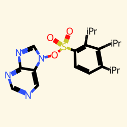 CC(C)c1ccc(S(=O)(=O)On2cnc3ncncc32)c(C(C)C)c1C(C)C